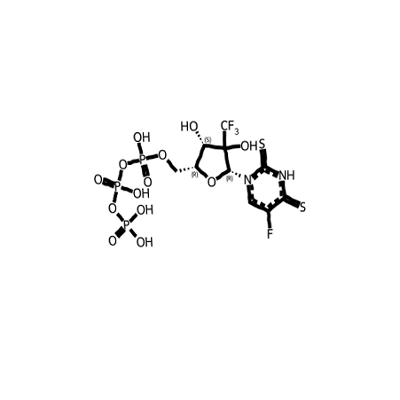 O=P(O)(O)OP(=O)(O)OP(=O)(O)OC[C@H]1O[C@@H](n2cc(F)c(=S)[nH]c2=S)C(O)(C(F)(F)F)[C@H]1O